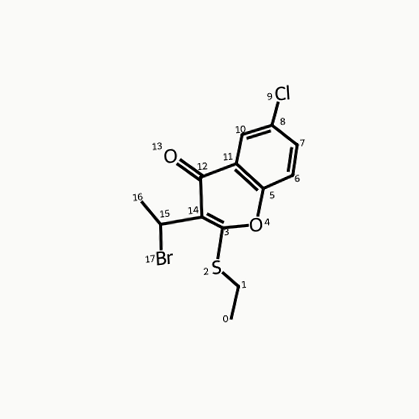 CCSc1oc2ccc(Cl)cc2c(=O)c1C(C)Br